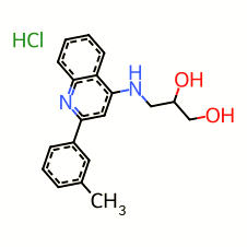 Cc1cccc(-c2cc(NCC(O)CO)c3ccccc3n2)c1.Cl